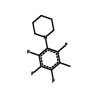 Cc1c(F)c(F)c(F)c(N2CCCCC2)c1F